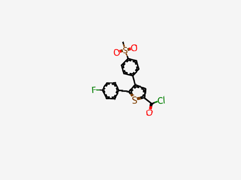 CS(=O)(=O)c1ccc(-c2cc(C(=O)Cl)sc2-c2ccc(F)cc2)cc1